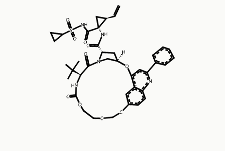 C=C[C@@H]1C[C@]1(NC(=O)[C@@H]1C[C@@H]2CN1C(=O)[C@H](C(C)(C)C)NC(=O)OCCCCCc1ccc3nc(-c4ccccc4)cc(c3c1)O2)C(=O)NS(=O)(=O)C1CC1